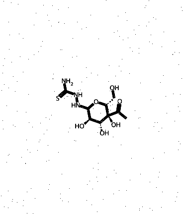 CC(=O)[C@]1(O)[C@H](O)[C@@H](O)C(NNC(N)=S)O[C@@H]1CO